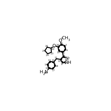 COc1ccc(-c2n[nH]cc2Cc2ccc(N)cc2)cc1OC1CCCC1